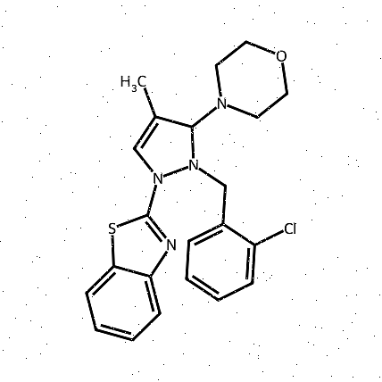 CC1=CN(c2nc3ccccc3s2)N(Cc2ccccc2Cl)C1N1CCOCC1